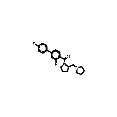 O=C(c1ccc(-c2ccc(F)cc2)cc1F)N1CCCC1CN1CCCC1